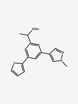 CNC(C)c1cc(-c2cnn(C)c2)cc(-c2cccs2)c1